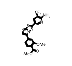 COC(=O)c1ccc(-c2cnc3sc(-c4cnc(N)c(C(F)(F)F)c4)nn23)cc1OC